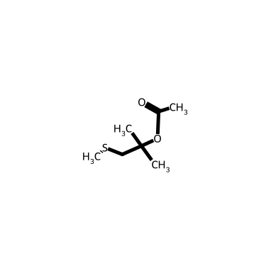 CSCC(C)(C)OC(C)=O